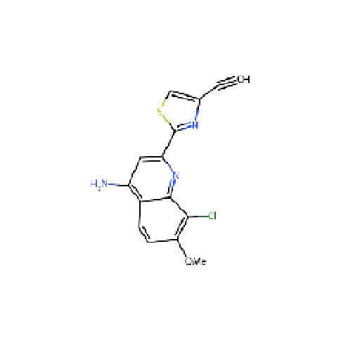 C#Cc1csc(-c2cc(N)c3ccc(OC)c(Cl)c3n2)n1